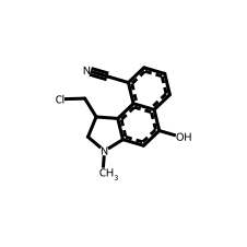 CN1CC(CCl)c2c1cc(O)c1cccc(C#N)c21